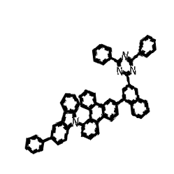 c1ccc(-c2ccc3c(c2)c2ccccc2n3-c2cccc3c4ccc(-c5cc(-c6nc(-c7ccccc7)nc(-c7ccccc7)n6)cc6ccccc56)cc4c4ccccc4c23)cc1